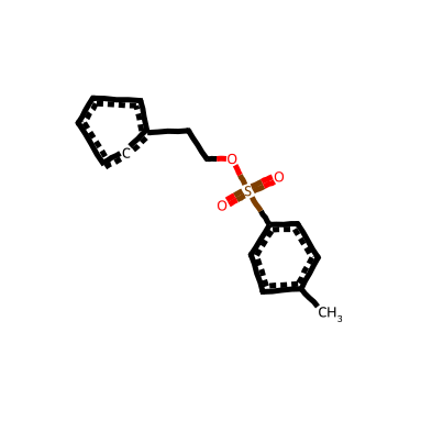 Cc1ccc(S(=O)(=O)OCCc2ccccc2)cc1